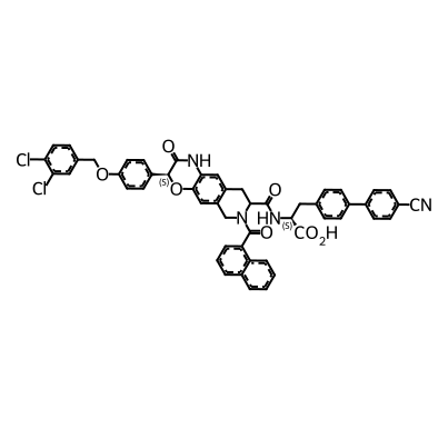 N#Cc1ccc(-c2ccc(C[C@H](NC(=O)C3Cc4cc5c(cc4CN3C(=O)c3cccc4ccccc34)O[C@@H](c3ccc(OCc4ccc(Cl)c(Cl)c4)cc3)C(=O)N5)C(=O)O)cc2)cc1